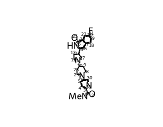 CNC(=O)c1ccc(N2CCC(N3CCC(c4cc5ccc(F)cc5c(=O)[nH]4)C3)CC2)cn1